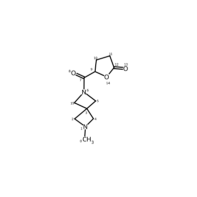 CN1CC2(C1)CN(C(=O)C1CCC(=O)O1)C2